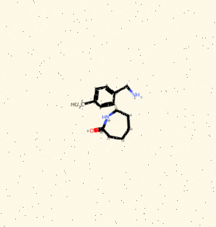 NCc1ccc(C(=O)O)cc1.O=C1CCCCCN1